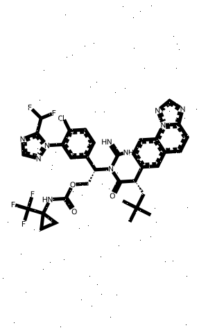 CC(C)(C)C[C@H](C(=O)N(C(=N)N)[C@H](COC(=O)NC1(C(F)(F)F)CC1)c1ccc(Cl)c(-n2ncnc2C(F)F)c1)c1ccc2c(ccc3ncnn32)c1